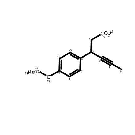 CC#CC(CC(=O)O)c1ccc(OCCCCCCC)cc1